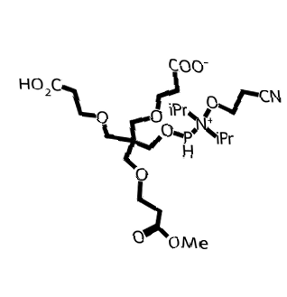 COC(=O)CCOCC(COCCC(=O)[O-])(COCCC(=O)O)COP[N+](OCCC#N)(C(C)C)C(C)C